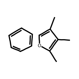 Cc1coc(C)c1C.c1ccccc1